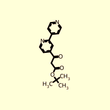 CC(C)(C)OC(=O)CC(=O)c1ccnc(-c2ccncc2)c1